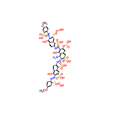 COc1ccc(N=Nc2c(S(=O)(=O)O)cc3c(S(=O)(=O)O)c(N=Nc4c(S(=O)(=O)O)cc5cc(OS(=O)O)c(N=Nc6ccc7c(O)c(N=Nc8ccc(OC)cc8S(=O)(=O)O)c(SOOO)cc7c6S(=O)(=O)O)c(O)c5c4N)ccc3c2O)c(SOOO)c1